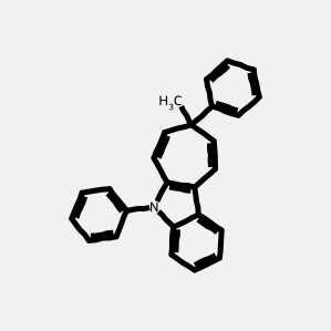 CC1(c2ccccc2)C=Cc2c(n(-c3ccccc3)c3ccccc23)C=C1